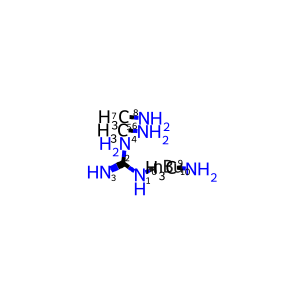 CCCCNC(=N)N.CN.CN.CN